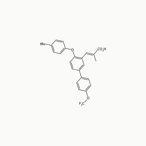 CC(=Cc1cc(-c2ccc(OC(F)(F)F)cc2)ccc1Oc1ccc(C(C)(C)C)cc1)C(=O)O